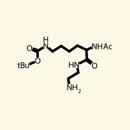 CC(=O)NC(CCCCNC(=O)OC(C)(C)C)C(=O)NCCN